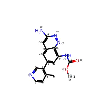 Cc1[c]cncc1-c1cc(NC(=O)OC(C)(C)C)c2nnc(N)cc2c1